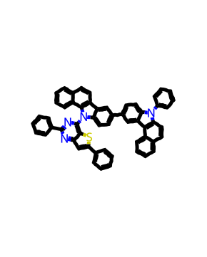 c1ccc(-c2nc(-n3c4ccc(-c5ccc6c(c5)c5c7ccccc7ccc5n6-c5ccccc5)cc4c4ccc5ccccc5c43)c3sc(-c4ccccc4)cc3n2)cc1